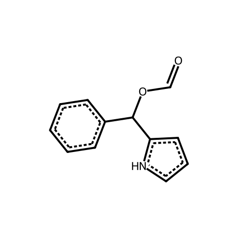 O=COC(c1ccccc1)c1ccc[nH]1